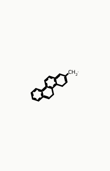 [CH2]C1=CCc2c3c(ccc2=C1)=c1ccccc1=CC3